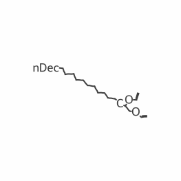 C=COCC(CCCCCCCCCCCCCCCCCCCCCC)OC=C